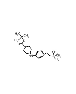 CC(C)(C)CCc1ccc(NC2CCN(C(=O)OC(C)(C)C)CC2)cc1